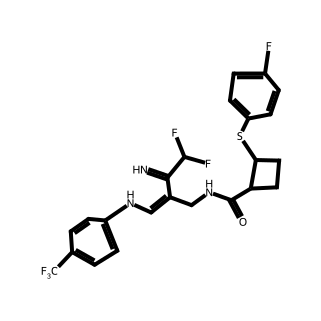 N=C(/C(=C\Nc1ccc(C(F)(F)F)cc1)CNC(=O)C1CCC1Sc1ccc(F)cc1)C(F)F